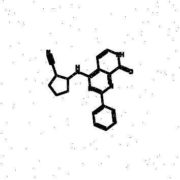 N#CC1CCCC1Nc1nc(-c2ccccc2)nc2c(=O)[nH]ccc12